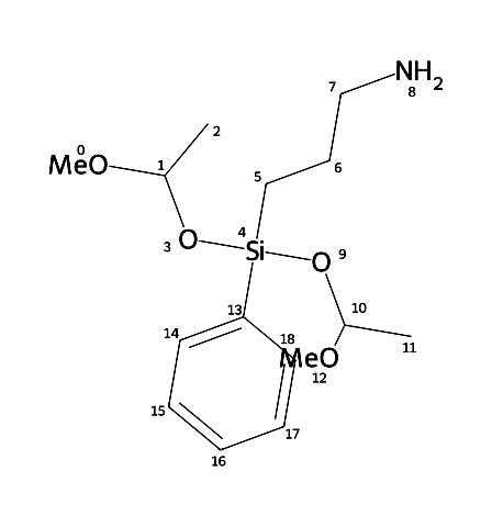 COC(C)O[Si](CCCN)(OC(C)OC)c1ccccc1